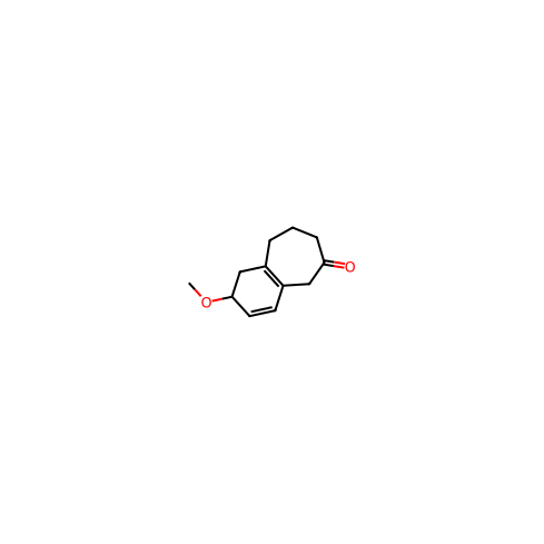 COC1C=CC2=C(CCCC(=O)C2)C1